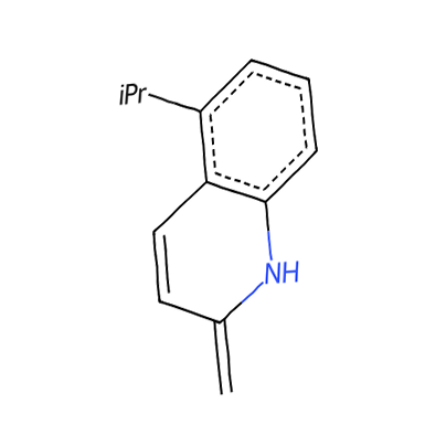 C=C1C=Cc2c(cccc2C(C)C)N1